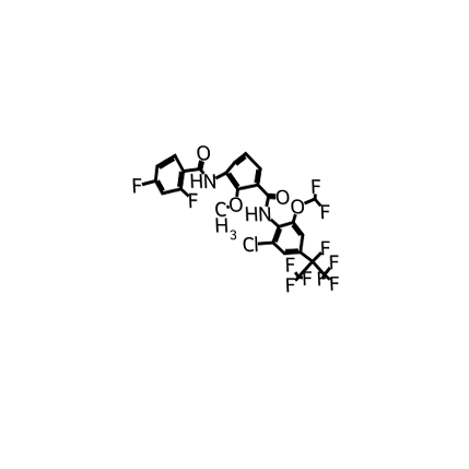 COc1c(NC(=O)c2ccc(F)cc2F)cccc1C(=O)Nc1c(Cl)cc(C(F)(C(F)(F)F)C(F)(F)F)cc1OC(F)F